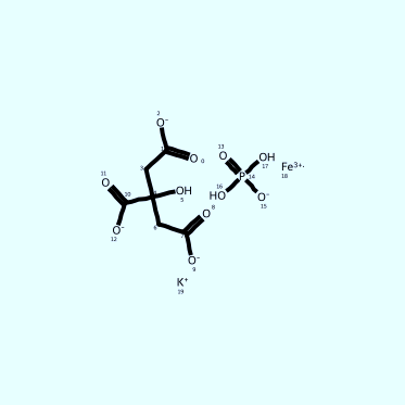 O=C([O-])CC(O)(CC(=O)[O-])C(=O)[O-].O=P([O-])(O)O.[Fe+3].[K+]